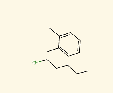 CCCCCCl.Cc1ccccc1C